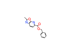 Cc1nc2ccc(C(=O)OCc3ccccc3)nc2o1